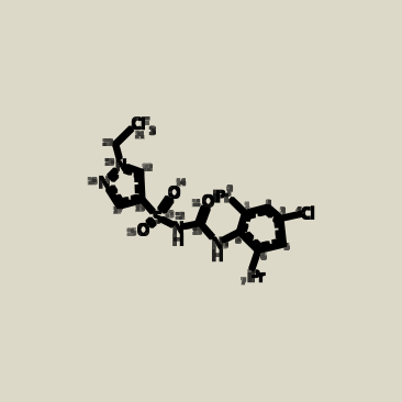 CC(C)c1cc(Cl)cc(C(C)C)c1NC(=O)NS(=O)(=O)c1cnn(CC(F)(F)F)c1